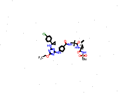 C=C[C@@H]1C[C@]1(NC(=O)C(C)(C)CNC(=O)c1ccc(Nc2nc(NC3(c4ccc(Cl)cc4)CC3)nc(OCC(F)(F)F)n2)cc1)C(=O)NS(=O)(=O)C(C)(C)C